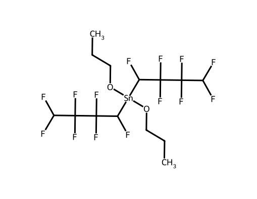 CCC[O][Sn]([O]CCC)([CH](F)C(F)(F)C(F)(F)C(F)F)[CH](F)C(F)(F)C(F)(F)C(F)F